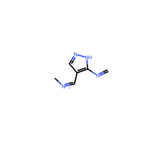 C=Nc1[nH]ncc1/C=N\C